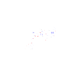 CC(C)C[C@H](NC(=O)CNC(=O)[C@H](C)NC(=O)[C@H](CC(C)C)NC(=O)[C@@H]1CCCN1C(=O)[C@@H](NC(=O)[C@@H]1CCCN1C(=O)[C@H](CCC(=O)O)NC(=O)[C@H](C)NC(=O)[C@H](C)NC(=O)[C@@H]1CCCN1)C(C)C)C(=O)N[C@@H](CC(=O)O)C(=O)O